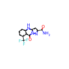 NC(=O)c1cc2[nH]c3cccc(C(F)(F)F)c3c(=O)n2n1